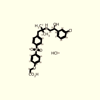 CC(C)(Cc1ccc(S(=O)(=O)c2ccc(OCC(=O)O)cc2)cc1)NC[C@@H](O)c1cccc(Cl)c1.Cl